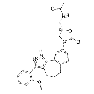 COc1ccccc1-c1n[nH]c2c1CCCc1ccc(N3C[C@H](CNC(C)=O)OC3=O)cc1-2